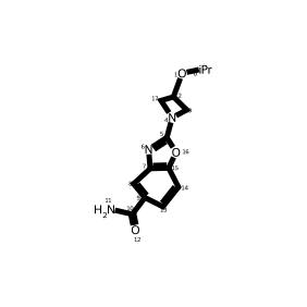 CC(C)OC1CN(c2nc3cc(C(N)=O)ccc3o2)C1